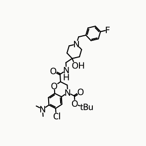 CN(C)c1cc2c(cc1Cl)N(C(=O)OC(C)(C)C)CC(C(=O)NCC1(O)CCN(Cc3ccc(F)cc3)CC1)O2